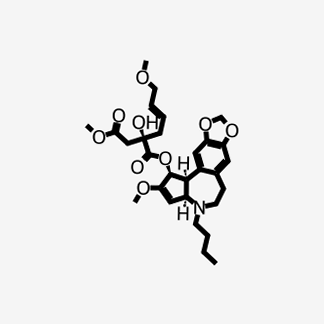 CCCCN1CCc2cc3c(cc2[C@@H]2[C@H](OC(=O)[C@@](O)(C/C=C/COC)CC(=O)OC)C(OC)=C[C@@H]21)OCO3